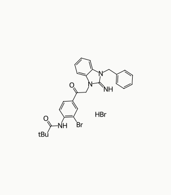 Br.CC(C)(C)C(=O)Nc1ccc(C(=O)Cn2c(=N)n(Cc3ccccc3)c3ccccc32)cc1Br